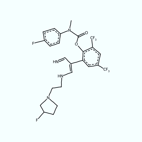 CN(C(=O)Oc1c(/C(C=N)=C/NCCN2CCC(F)C2)cc(C(F)(F)F)cc1C(F)(F)F)c1ccc(F)cc1